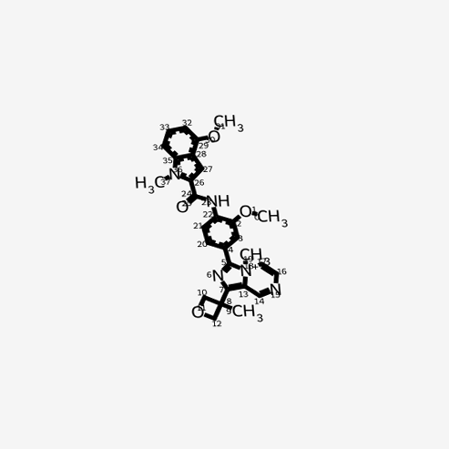 COc1cc(C2=NC(C3(C)COC3)=C3C=NC=C[N+]23C)ccc1NC(=O)c1cc2c(OC)cccc2n1C